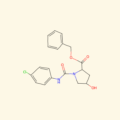 O=C(OCc1ccccc1)C1CC(O)CN1C(=O)Nc1ccc(Cl)cc1